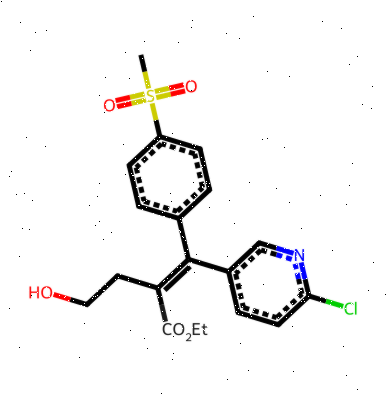 CCOC(=O)C(CCO)=C(c1ccc(S(C)(=O)=O)cc1)c1ccc(Cl)nc1